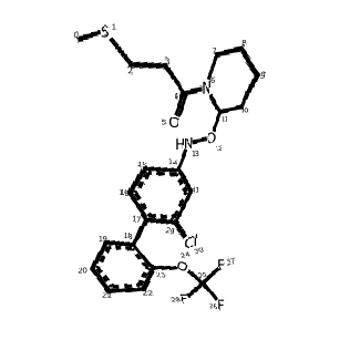 CSCCC(=O)N1CCCCC1ONc1ccc(-c2ccccc2OC(F)(F)F)c(Cl)c1